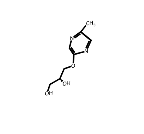 Cc1cnc(OC[C@@H](O)CO)cn1